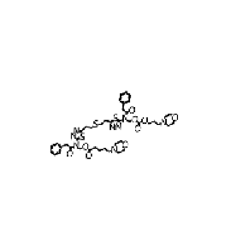 O=C(CCCCN1CCOCC1)OCN(C(=O)Cc1ccccc1)c1nnc(CCSCCc2nnc(N(COC(=O)OCCCN3CCOCC3)C(=O)Cc3ccccc3)s2)s1